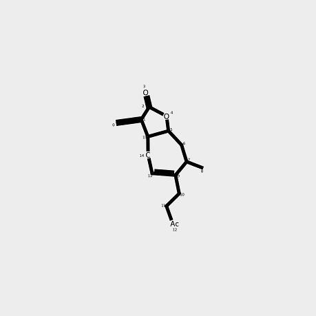 C=C1C(=O)OC2CC(C)C(CCC(C)=O)=CCC12